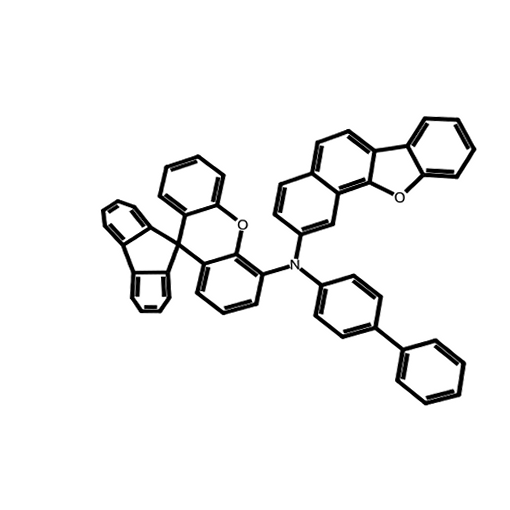 c1ccc(-c2ccc(N(c3ccc4ccc5c6ccccc6oc5c4c3)c3cccc4c3Oc3ccccc3C43c4ccccc4-c4ccccc43)cc2)cc1